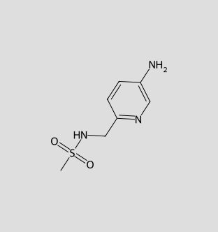 CS(=O)(=O)NCc1ccc(N)cn1